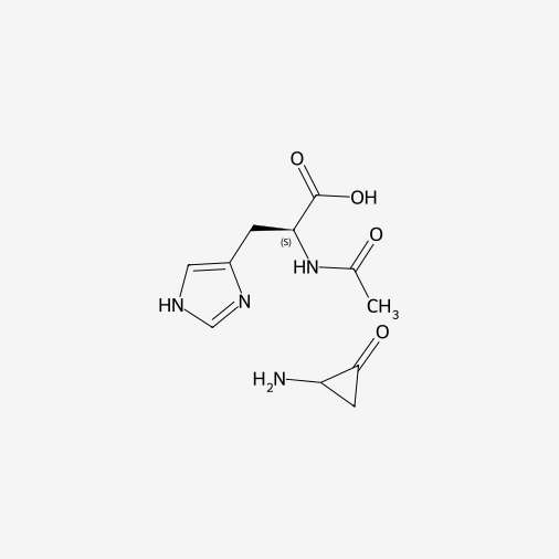 CC(=O)N[C@@H](Cc1c[nH]cn1)C(=O)O.NC1CC1=O